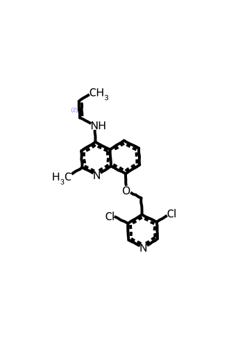 C/C=C\Nc1cc(C)nc2c(OCc3c(Cl)cncc3Cl)cccc12